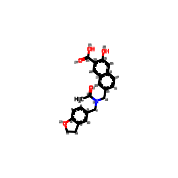 CC(=O)N(Cc1ccc2c(c1)CCO2)Cc1ccc2cc(O)c(C(=O)O)cc2c1